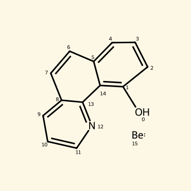 Oc1cccc2ccc3cccnc3c12.[Be]